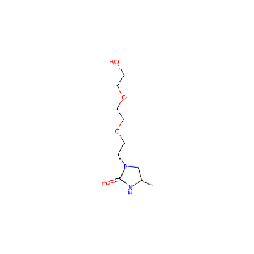 CC1CN(CCOCCOCCO)C(=O)N1